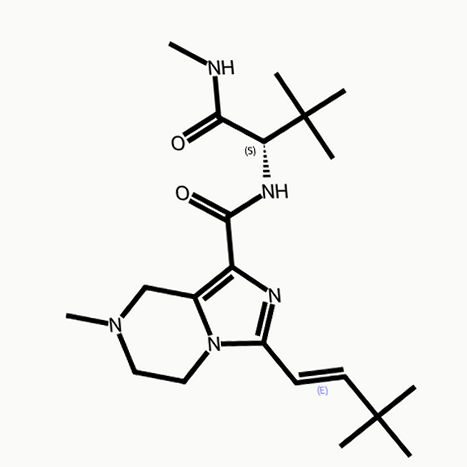 CNC(=O)[C@@H](NC(=O)c1nc(/C=C/C(C)(C)C)n2c1CN(C)CC2)C(C)(C)C